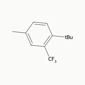 Cc1ccc(C(C)(C)C)c(C(F)(F)F)c1